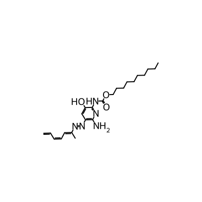 C=C\C=C/C=C(C)/N=N/c1cc(O)c(NC(=O)OCCCCCCCCCC)nc1N